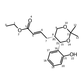 CCOC(=O)C=CC[C@@H]1COC(C)(C)O[C@@H]1c1ccccc1O